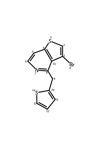 Brc1csc2ccnc([CH]c3cccs3)c12